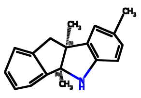 Cc1ccc2c(c1)[C@]1(C)Cc3ccccc3[C@]1(C)N2